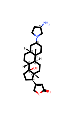 C[C@]12CC[C@H](N3CC[C@@H](N)C3)C[C@H]1CC[C@@H]1[C@@H]2CC[C@]2(C)[C@@H](C3=CC(=O)OC3)CC[C@]12O